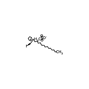 CCCCCCCCCCCCCCC[N+]1(CC#CI)CCCC1.CS(=O)(=O)[O-]